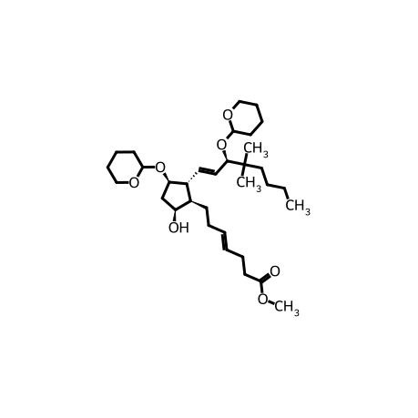 CCCCC(C)(C)[C@@H](C=C[C@@H]1[C@@H](CCC=CCCC(=O)OC)[C@@H](O)C[C@H]1OC1CCCCO1)OC1CCCCO1